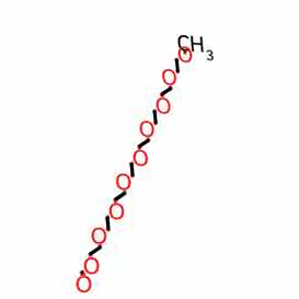 COCCOCCOCCOCCOCCOCCOCCOCCOC=O